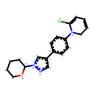 ClC1=CC=CCN1c1ccc(-c2cnn(C3CCCCO3)c2)cc1